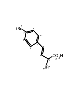 CC(C)C(C=Cc1ccc(C(C)(C)C)cc1)C(=O)O